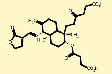 C=C1CCC2[C@](C)(CCC(=O)CCC(=O)O)[C@H](OC(=O)CCC(=O)O)CC[C@@]2(C)[C@@H]1/C=C/C1=CCOC1=O